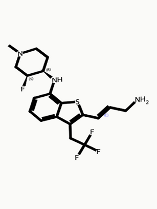 CN1CC[C@@H](Nc2cccc3c(CC(F)(F)F)c(/C=C/CN)sc23)[C@@H](F)C1